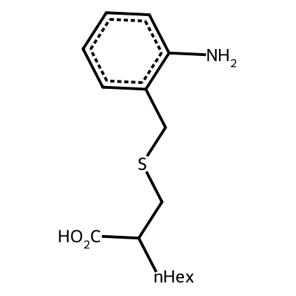 CCCCCCC(CSCc1ccccc1N)C(=O)O